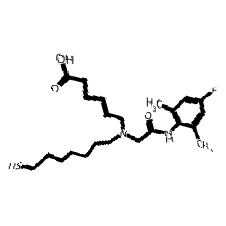 Cc1cc(F)cc(C)c1NC(=O)CN(CCCCCCCS)CCCCCC(=O)O